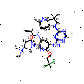 C=CC(=O)Nc1cc(Nc2ncnc(N3CC(C)(C)c4nc(C)ccc43)n2)c(OCC(F)(F)F)nc1N1CC[C@@H](N(C)C)C1